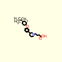 CC(C)(C)[C@H]1CC[C@H](Oc2cccc(C3CCCN(CCCC(=O)O)C3)c2)CC1